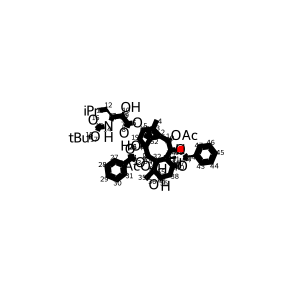 CC(=O)O[C@@H]1C2=C(C)[C@@H](OC(=O)[C@H](O)[C@H](CC(C)C)NC(=O)OC(C)(C)C)C[C@@](O)([C@@H](OC(=O)c3ccccc3)[C@@H]3[C@]4(OC(C)=O)CO[C@@H]4C[C@@H]4O[C@H](c5ccccc5)O[C@@H]1[C@]43C)C2(C)C